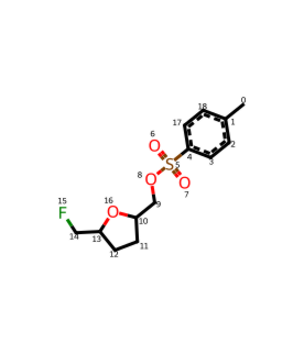 Cc1ccc(S(=O)(=O)OCC2CCC(CF)O2)cc1